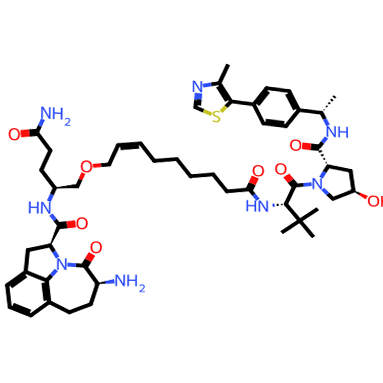 Cc1ncsc1-c1ccc([C@H](C)NC(=O)[C@@H]2C[C@@H](O)CN2C(=O)[C@@H](NC(=O)CCCCC/C=C\COC[C@H](CCC(N)=O)NC(=O)[C@@H]2Cc3cccc4c3N2C(=O)[C@@H](N)CC4)C(C)(C)C)cc1